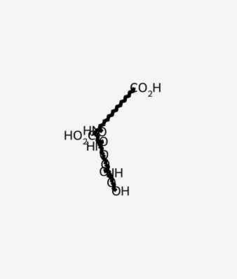 O=C(O)CCCCCCCCCCCCCCCCC(=O)N[C@@H](CCC(=O)NCCOCCOCC(=O)NCCOCCO)C(=O)O